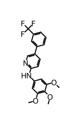 COc1cc(Nc2ccc(-c3cccc(C(F)(F)F)c3)cn2)cc(OC)c1OC